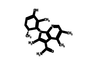 CC1=C(n2c(N)c(C(N)=O)c3c(C)c(C)cnc32)[C@H](C)CC=C1O